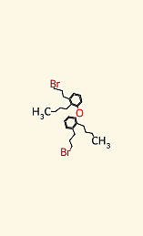 CCCCc1c(CCCBr)cccc1Oc1cccc(CCCBr)c1CCCC